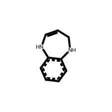 C1=CNc2ccccc2NC1